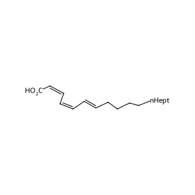 CCCCCCCCCCCC=C/C=C\C=C/C(=O)O